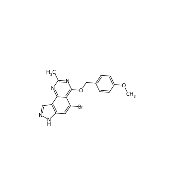 COc1ccc(COc2nc(C)nc3c2c(Br)cc2[nH]ncc23)cc1